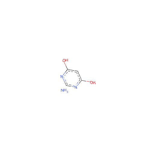 N.Oc1cc(O)ncn1